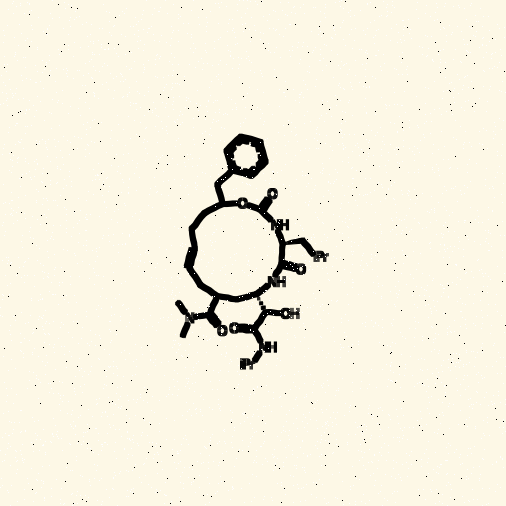 CC(C)C[C@@H]1NC(=O)OC(Cc2ccccc2)CC/C=C/CC(C(=O)N(C)C)C[C@@H](C(O)C(=O)NC(C)C)NC1=O